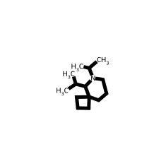 CC(C)C1N(C(C)C)CCCC12CCC2